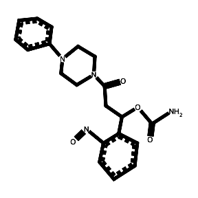 NC(=O)OC(CC(=O)N1CCN(c2ccccc2)CC1)c1ccccc1N=O